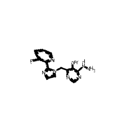 CCCc1c(Cn2ccnc2-c2ncccc2F)ncnc1NN